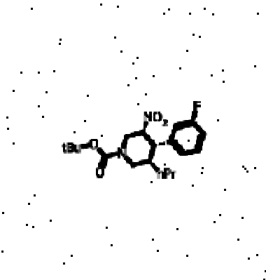 CCC[C@H]1CN(C(=O)OC(C)(C)C)C[C@@H]([N+](=O)[O-])[C@@H]1c1cccc(F)c1